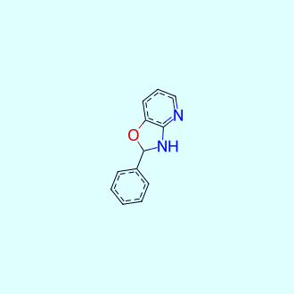 c1ccc(C2Nc3ncccc3O2)cc1